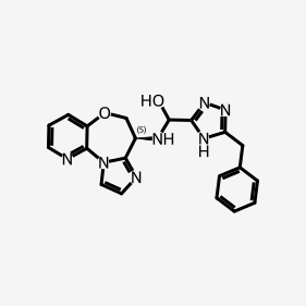 OC(N[C@@H]1COc2cccnc2-n2ccnc21)c1nnc(Cc2ccccc2)[nH]1